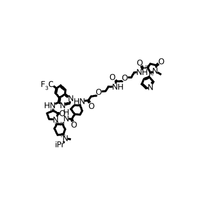 CC(C)N(C)[C@@H]1CC[C@H](N2CC[C@H](Nc3ncnc4ccc(C(F)(F)F)cc34)C2=O)[C@H](NC(=O)C2CCC(NC(=O)CCOCCNC(=O)COCCNC(=O)[C@H]3CC(=O)N(C)[C@@H]3c3cccnc3)CC2)C1